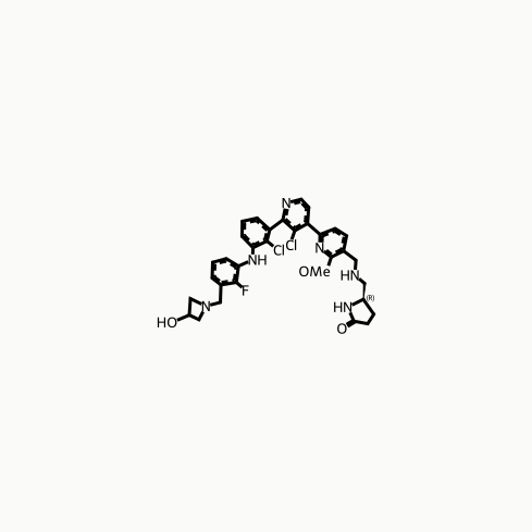 COc1nc(-c2ccnc(-c3cccc(Nc4cccc(CN5CC(O)C5)c4F)c3Cl)c2Cl)ccc1CNC[C@H]1CCC(=O)N1